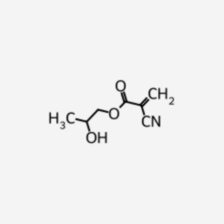 C=C(C#N)C(=O)OCC(C)O